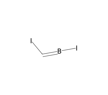 IB=CI